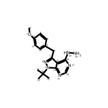 COc1ccc(Cc2nn(C(C)(C)C)c3ncnc(NN)c23)cc1